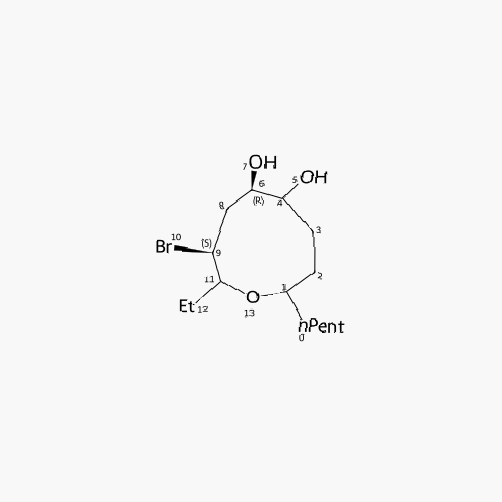 CCCCCC1CCC(O)[C@H](O)C[C@H](Br)C(CC)O1